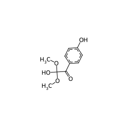 COC(O)(OC)C(=O)c1ccc(O)cc1